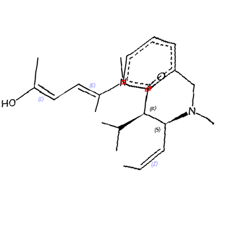 C/C=C\[C@@H]([C@H](C(=O)N(C)/C(C)=C/C=C(\C)O)C(C)C)N(C)Cc1ccccc1